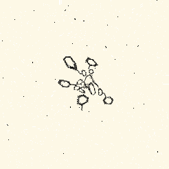 Cc1ccc(S[C@@H]2OC(COCc3ccccc3)[C@H](OCc3ccccc3)C(OCc3ccccc3)C2OC(=O)c2ccccc2)cc1